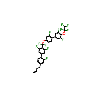 C=CCCc1ccc(-c2cc(F)c(C(F)(F)Oc3ccc(-c4cc(F)c(OC(F)(F)C(F)F)c(F)c4)c(F)c3)c(F)c2)c(F)c1